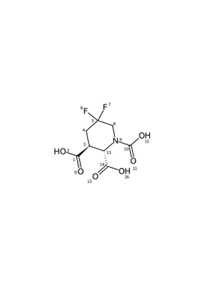 O=C(O)[C@H]1CC(F)(F)CN(C(=O)O)[C@@H]1C(=O)O